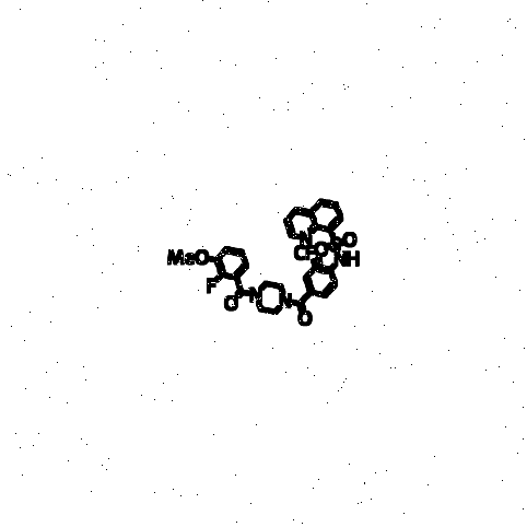 COc1cccc(C(=O)N2CCN(C(=O)c3ccc(NS(=O)(=O)c4cccc5cccnc45)c(C(F)(F)F)c3)CC2)c1F